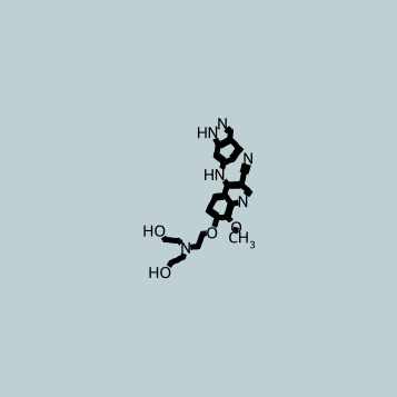 COc1c(OCCN(CCO)CCO)ccc2c(Nc3ccc4cn[nH]c4c3)c(C#N)cnc12